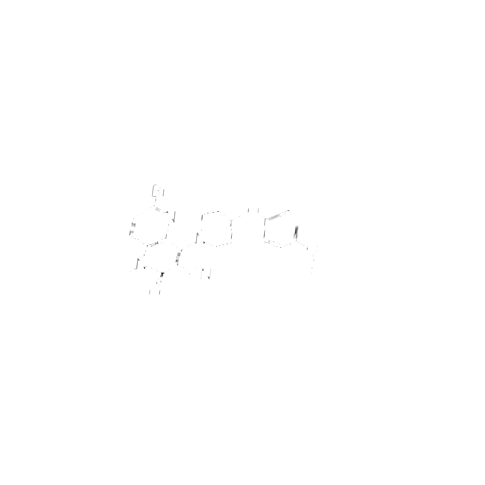 Cn1c(=O)c(C#N)c(N2CCC(Oc3ccc(OC(F)(F)F)cc3)CC2)c2nc(Br)ccc21